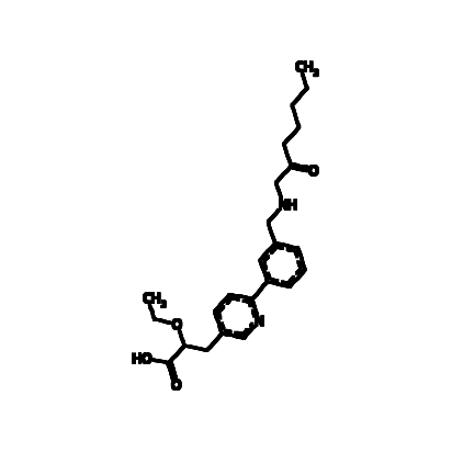 CCCCCC(=O)CNCc1cccc(-c2ccc(CC(OCC)C(=O)O)cn2)c1